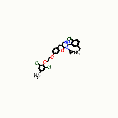 Cc1cc(Cl)c(OCCOc2ccc(CC(CN)C(=O)N(Cc3cc(CC#N)ccc3Cl)C3CC3)cc2)c(Cl)c1